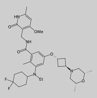 CCN(c1cc(O[C@H]2C[C@H](N3C[C@@H](C)O[C@@H](C)C3)C2)cc(C(=O)NCc2c(OC)cc(C)[nH]c2=O)c1C)C1CCC(F)(F)CC1